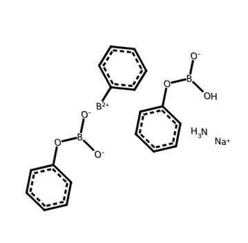 N.[B+2]c1ccccc1.[Na+].[O-]B(O)Oc1ccccc1.[O-]B([O-])Oc1ccccc1